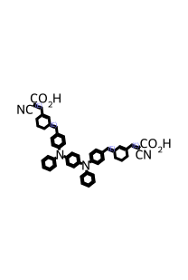 N#C/C(=C\C1=CC(=C/c2ccc(N(c3ccccc3)c3ccc(N(c4ccccc4)c4ccc(/C=C5C=C(/C=C(\C#N)C(=O)O)CCC/5)cc4)cc3)cc2)/CCC1)C(=O)O